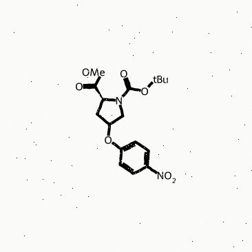 COC(=O)[C@@H]1CC(Oc2ccc([N+](=O)[O-])cc2)CN1C(=O)OC(C)(C)C